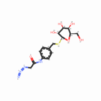 [N-]=[N+]=NCC(=O)Nc1ccc(CS[C@@H]2O[C@H](CO)[C@H](O)[C@H](O)[C@H]2O)cc1